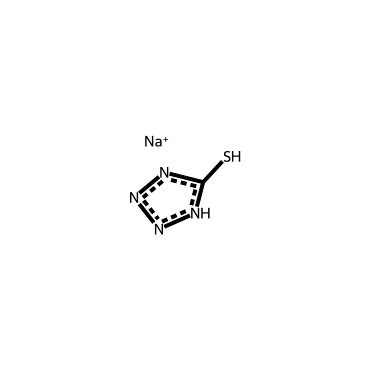 Sc1nnn[nH]1.[Na+]